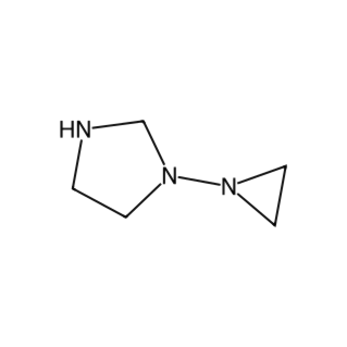 C1CN(N2CC2)CN1